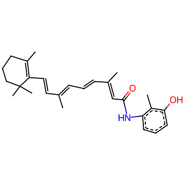 CC(C=CC1=C(C)CCCC1(C)C)=CC=CC(C)=CC(=O)Nc1cccc(O)c1C